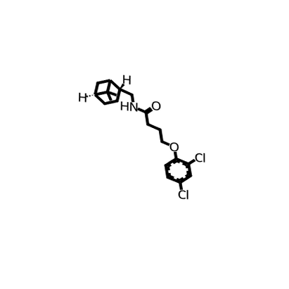 CC1(C)C2C[C@@H]1CC[C@H]2CNC(=O)CCCOc1ccc(Cl)cc1Cl